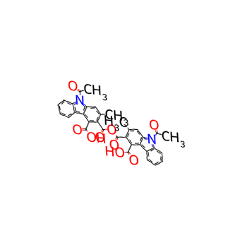 CC(=O)n1c2ccccc2c2c(C(=O)O)c(C(=O)OC(=O)c3c(C)cc4c(c3C(=O)O)c3ccccc3n4C(C)=O)c(C)cc21